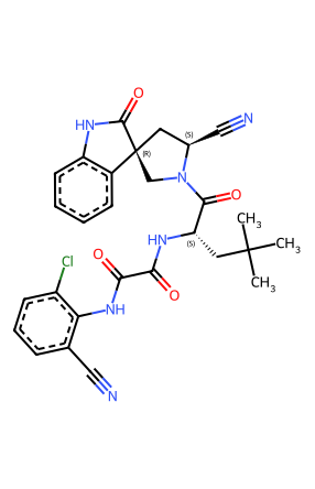 CC(C)(C)C[C@H](NC(=O)C(=O)Nc1c(Cl)cccc1C#N)C(=O)N1C[C@]2(C[C@H]1C#N)C(=O)Nc1ccccc12